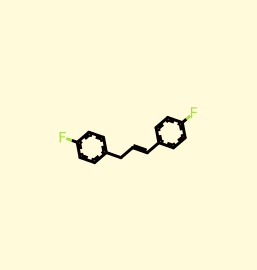 Fc1ccc(C=CCc2ccc(F)cc2)cc1